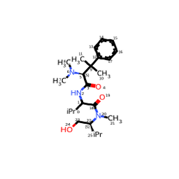 CC(C)C(NC(=O)[C@@H](N(C)C)C(C)(C)c1ccccc1)C(=O)N(C)[C@H](CO)C(C)C